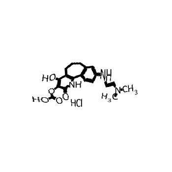 CN(C)CCNc1ccc2c(c1)CCCc1c-2[nH]c(=O)c(OC(=O)O)c1O.Cl